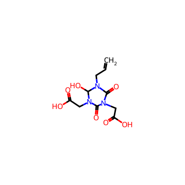 C=CCN1C(=O)N(CC(=O)O)C(=O)N(CC(=O)O)C1O